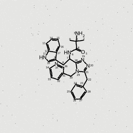 CC(C)(N)C(=O)NC(Cc1c[nH]c2ccccc12)c1nnc(Cc2ccccc2)n1Cc1cccnc1